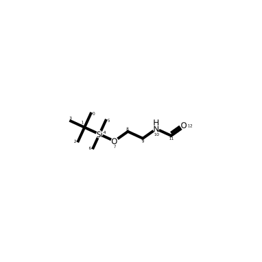 CC(C)(C)[Si](C)(C)OCCNC=O